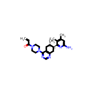 C=CC(=O)N1CCN(c2ncnc3c2C[C@H](C)[C@@H](c2nc(N)cc(C)c2C(F)(F)F)C3)CC1